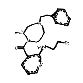 CC(C)CCNc1ncccc1C(=O)N1CCN(Cc2ccccc2)C[C@@H]1C